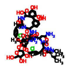 CN[C@H](CC(C)C)C(=O)NC1C(=O)NC(CC(N)=O)C(=O)N[C@H]2C(=O)NC3C(=O)N[C@H](C(=O)N[C@@H](C(=O)O)c4cc(O)cc(O)c4-c4cc3ccc4O)[C@H](O)c3ccc(c(Cl)c3)Oc3cc2cc(c3OC2OC(CO)C(O)C(O)C2OC2CC(C)(N)C(O)C(C)O2)Oc2ccc(cc2Cl)[C@H]1O